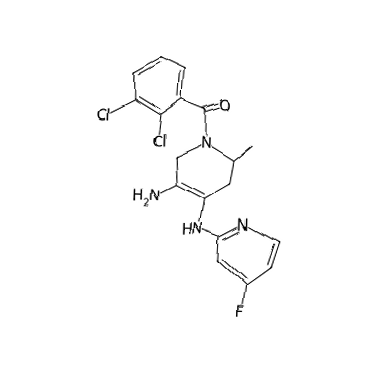 CC1CC(Nc2cc(F)ccn2)=C(N)CN1C(=O)c1cccc(Cl)c1Cl